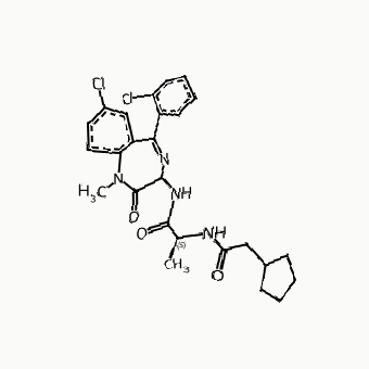 C[C@H](NC(=O)CC1CCCC1)C(=O)NC1N=C(c2ccccc2Cl)c2cc(Cl)ccc2N(C)C1=O